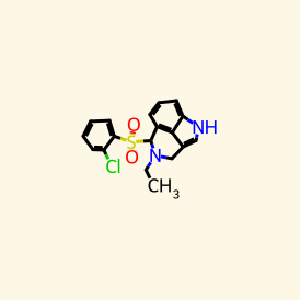 CCN1Cc2c[nH]c3cccc(c23)C1S(=O)(=O)c1ccccc1Cl